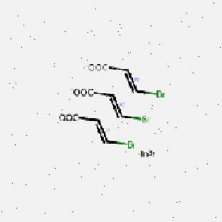 O=C([O-])/C=C/Br.O=C([O-])/C=C/Br.O=C([O-])/C=C/Br.[In+3]